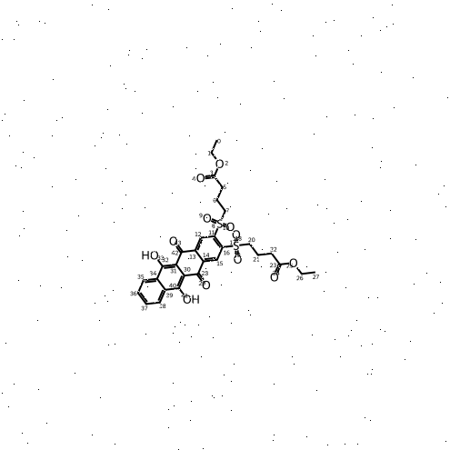 CCOC(=O)CCCS(=O)(=O)c1cc2c(cc1S(=O)(=O)CCCC(=O)OCC)C(=O)c1c(c(O)c3ccccc3c1O)C2=O